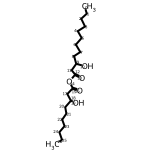 CCCCCCCCCC(O)CC(=O)OC(=O)CC(O)CCCCCCC